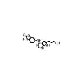 O=c1[nH]c2ccc(NC3=NCNc4[nH]c(CCCO)cc43)cc2s1